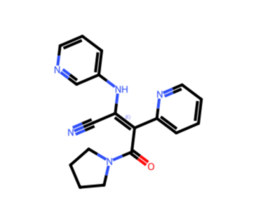 N#C/C(Nc1cccnc1)=C(\C(=O)N1CCCC1)c1ccccn1